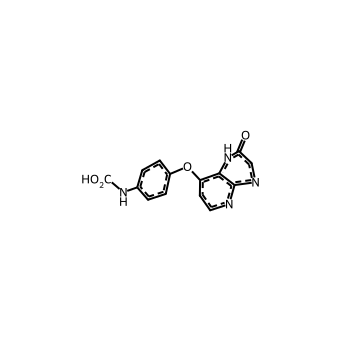 O=C(O)Nc1ccc(Oc2ccnc3ncc(=O)[nH]c23)cc1